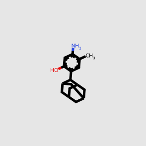 Cc1cc(C2C3CC4CC(C3)CC2C4)c(O)cc1N